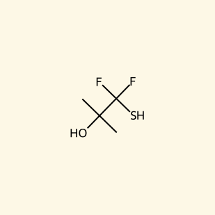 CC(C)(O)C(F)(F)S